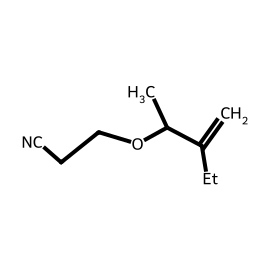 C=C(CC)C(C)OCCC#N